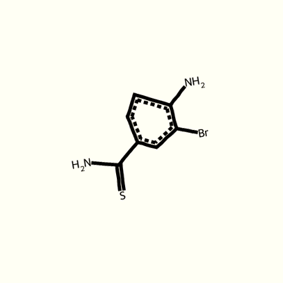 NC(=S)c1ccc(N)c(Br)c1